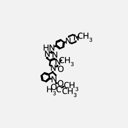 CN1CCN(c2ccc(Nc3ncc4c(n3)N(C)C(=O)N(C3CN(C(=O)OC(C)(C)C)c5ccccc53)C4)cc2)CC1